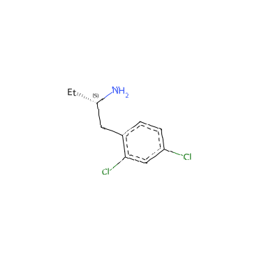 CC[C@H](N)Cc1ccc(Cl)cc1Cl